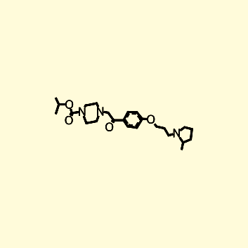 CC(C)OC(=O)N1CCN(CC(=O)c2ccc(OCCCN3CCCC3C)cc2)CC1